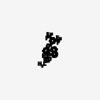 Cc1coc([C@@H]2C[C@@]3(c4ccccc4)[C@H](OCc4cc(C(F)(F)F)cc(C(F)(F)F)c4)CC[C@@H]2N3Cc2ccccc2)n1